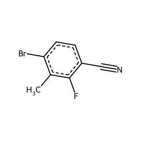 Cc1c(Br)ccc(C#N)c1F